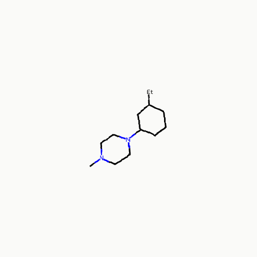 [CH2]CC1CCCC(N2CCN(C)CC2)C1